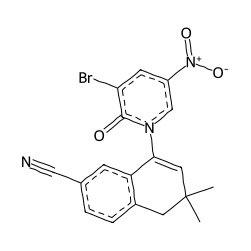 CC1(C)C=C(n2cc([N+](=O)[O-])cc(Br)c2=O)c2cc(C#N)ccc2C1